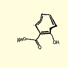 COC(=O)c1[c]cccc1O